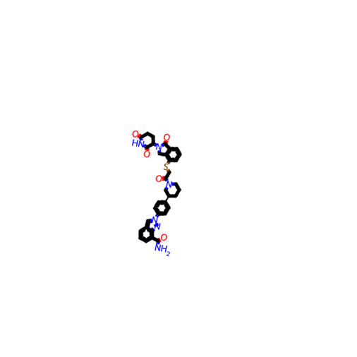 NC(=O)c1cccc2cn(-c3ccc([C@@H]4CCCN(C(=O)CSc5cccc6c5CN(C5CCC(=O)NC5=O)C6=O)C4)cc3)nc12